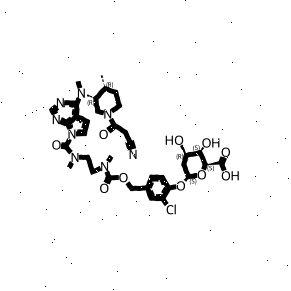 C[C@@H]1CCN(C(=O)CC#N)C[C@@H]1N(C)c1ncnc2c1ccn2C(=O)N(C)CCN(C)C(=O)OCc1ccc(O[C@H]2C[C@@H](O)[C@H](O)[C@@H](C(=O)O)O2)c(Cl)c1